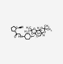 CC1(C)O[C@@H]2[C@@H](CO[C@@]3(CN4CCC(NCC(=O)N5CCC[C@H]5C#N)CC4)OC(C)(C)O[C@@H]23)O1